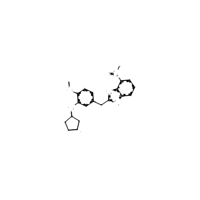 COc1ccc(Cc2nc3cccc([N+](C)=O)c3o2)cc1OC1CCCC1